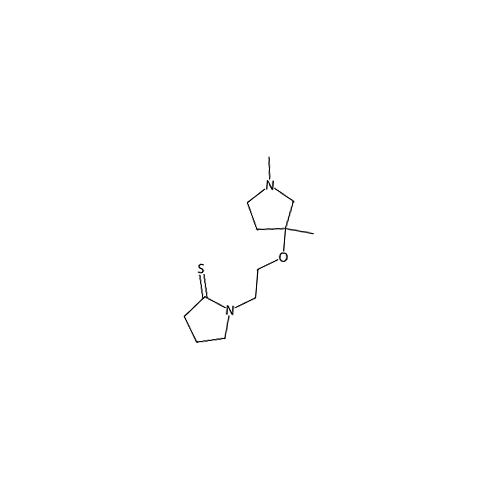 CN1CCC(C)(OCCN2CCCC2=S)C1